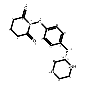 O=C1CCCC(=O)N1Oc1ccc(C[C@H]2COCCN2)cc1